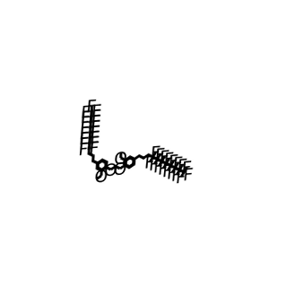 COc1cc(CCCC(F)(F)C(F)(F)C(F)(F)C(F)(F)C(F)(F)C(F)(F)C(F)(F)C(F)(F)F)ccc1OCOc1ccc(CCCC(F)(F)C(F)(F)C(F)(F)C(F)(F)C(F)(F)C(F)(F)C(F)(F)C(F)(F)F)cc1OC